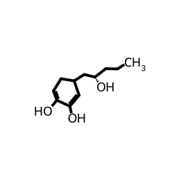 CCC[C@H](O)CC1C=C(O)C(O)=CC1